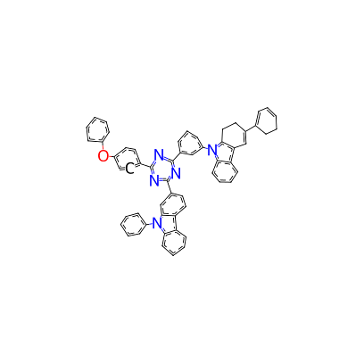 C1=CCCC(C2=Cc3c(n(-c4cccc(-c5nc(-c6ccc(Oc7ccccc7)cc6)nc(-c6ccc7c8ccccc8n(-c8ccccc8)c7c6)n5)c4)c4ccccc34)CC2)=C1